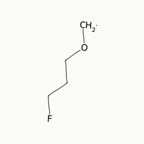 [CH2]OCCCF